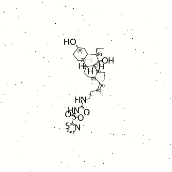 CC[C@@H]1C2C[C@H](O)CC[C@]2(C)[C@H]2CC[C@]3(C)[C@@H]([C@H](C)CCNC(=O)NS(=O)(=O)c4nccs4)CC[C@H]3[C@@H]2[C@@H]1O